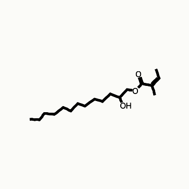 CC=C(C)C(=O)OCC(O)CCCCCCCCCCC